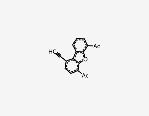 C#Cc1ccc(C(C)=O)c2oc3c(C(C)=O)cccc3c12